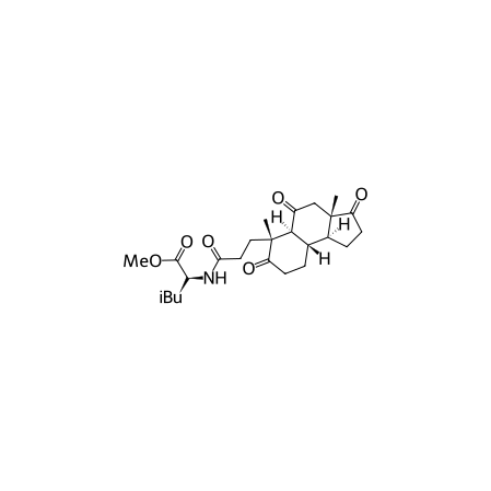 CC[C@H](C)[C@H](NC(=O)CC[C@@]1(C)C(=O)CC[C@@H]2[C@@H]1C(=O)C[C@]1(C)C(=O)CC[C@@H]21)C(=O)OC